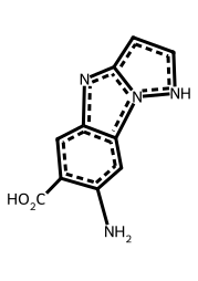 Nc1cc2c(cc1C(=O)O)nc1cc[nH]n12